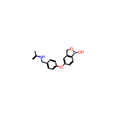 C=C(C)NCc1ccc(Oc2ccc3c(c2)COB3O)cc1